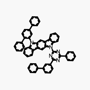 c1ccc(-c2cccc(-c3nc(-c4ccccc4)nc(-n4c5ccccc5c5cc6c(cc54)c4ccccc4n6-c4cc(-c5ccccc5)ccc4-c4ccccc4)n3)c2)cc1